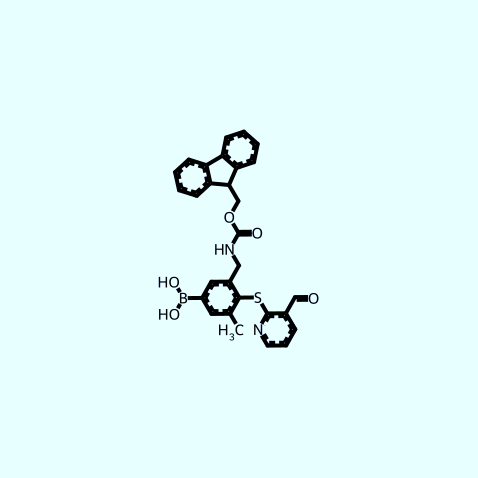 Cc1cc(B(O)O)cc(CNC(=O)OCC2c3ccccc3-c3ccccc32)c1Sc1ncccc1C=O